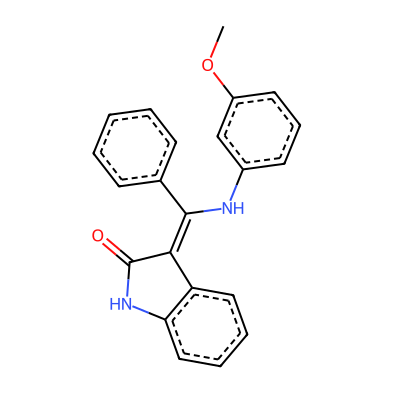 COc1cccc(NC(=C2C(=O)Nc3ccccc32)c2ccccc2)c1